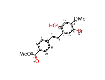 COC(=O)c1ccc(/C=C/c2cc(Br)c(OC)cc2O)cc1